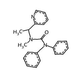 CC(c1ccccn1)N(C)C(=O)N(c1ccccc1)c1ccccc1